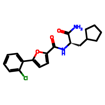 NC(=O)[C@H](CC1CCCC1)NC(=O)c1ccc(-c2ccccc2Cl)o1